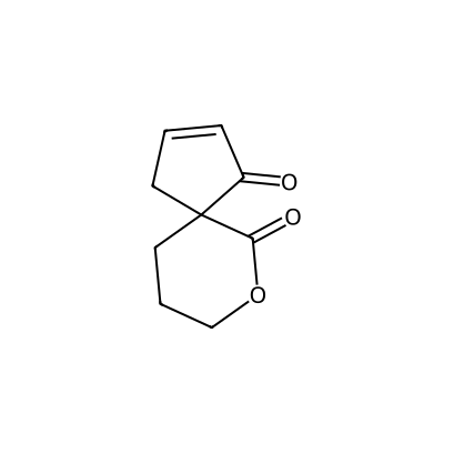 O=C1C=CCC12CCCOC2=O